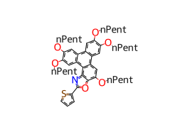 CCCCCOc1cc2c3cc(OCCCCC)c(OCCCCC)cc3c3c(cc(OCCCCC)c4oc(-c5cccs5)nc43)c2cc1OCCCCC